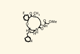 COCC(=O)N[C@H]1CCCN(C)C(=O)c2cc(F)ccc2OC[C@@H]2C[C@H](CN2Cc2cccnc2)NC1=O